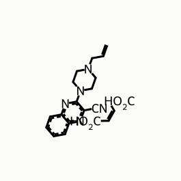 C=CCN1CCN(c2nc3ccccc3nc2C#N)CC1.O=C(O)/C=C\C(=O)O